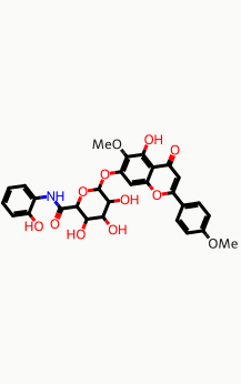 COc1ccc(-c2cc(=O)c3c(O)c(OC)c(OC4OC(C(=O)Nc5ccccc5O)C(O)C(O)C4O)cc3o2)cc1